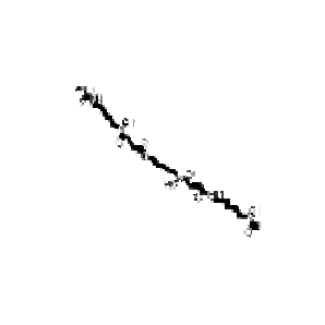 CNC(=S)NCCCCCN(O)C(=O)CCC(=O)NCCCCCN(O)C(=O)CCC(=O)NCCCCCN(O)C(C)=O